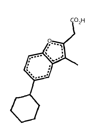 Cc1c(CC(=O)O)oc2ccc(C3CCCCC3)cc12